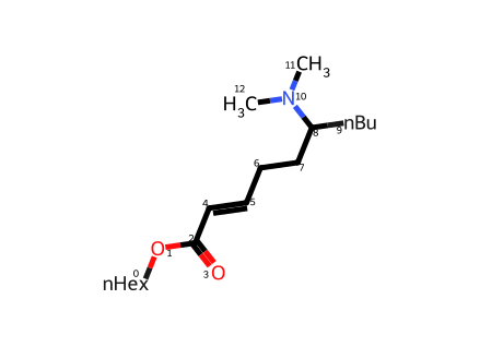 CCCCCCOC(=O)/C=C/CCC(CCCC)N(C)C